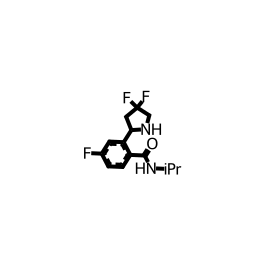 CC(C)NC(=O)c1ccc(F)cc1C1CC(F)(F)CN1